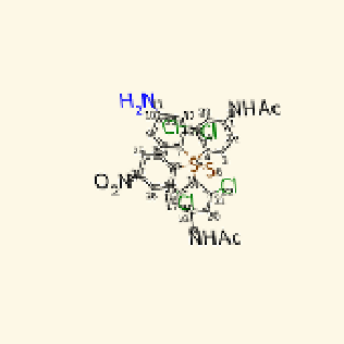 CC(=O)Nc1ccc(S(=S)(c2ccc(N)cc2Cl)(c2ccc(NC(C)=O)cc2Cl)c2ccc([N+](=O)[O-])cc2Cl)c(Cl)c1